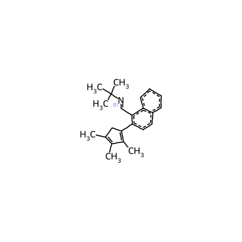 CC1=C(C)C(C)=C(c2ccc3ccccc3c2/C=N/C(C)(C)C)C1